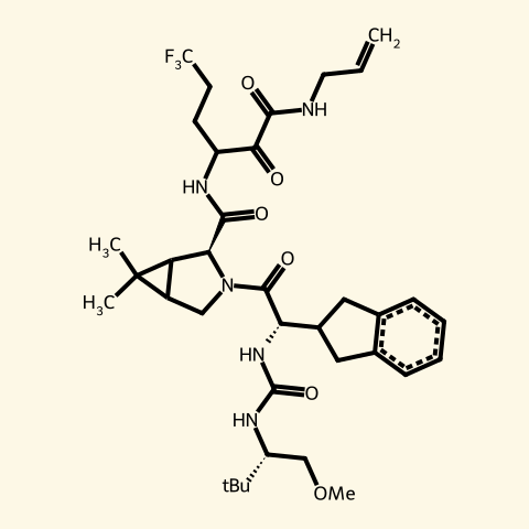 C=CCNC(=O)C(=O)C(CCC(F)(F)F)NC(=O)[C@@H]1C2C(CN1C(=O)[C@@H](NC(=O)N[C@H](COC)C(C)(C)C)C1Cc3ccccc3C1)C2(C)C